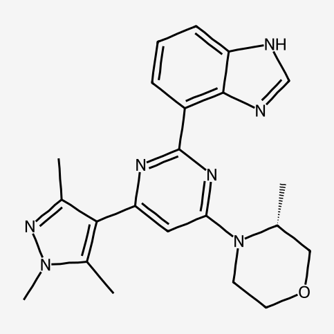 Cc1nn(C)c(C)c1-c1cc(N2CCOC[C@H]2C)nc(-c2cccc3[nH]cnc23)n1